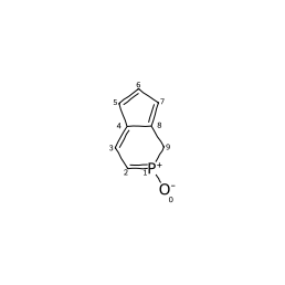 [O-][P+]1=CC=C2C=CC=C2C1